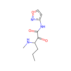 CCCC(NC)C(=O)C(=O)Nc1ccon1